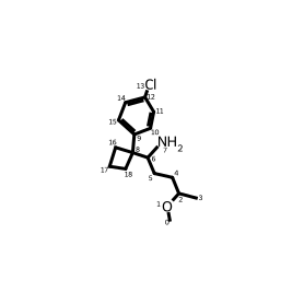 COC(C)CCC(N)C1(c2ccc(Cl)cc2)CCC1